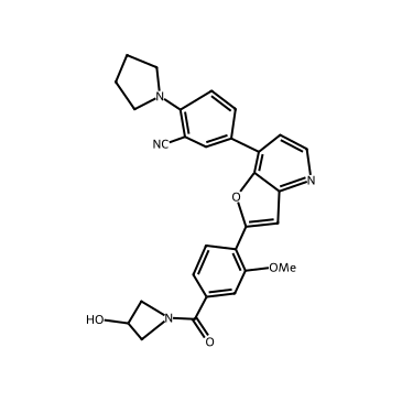 COc1cc(C(=O)N2CC(O)C2)ccc1-c1cc2nccc(-c3ccc(N4CCCC4)c(C#N)c3)c2o1